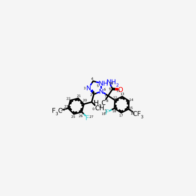 CC(C1=NCNN1C(C)(C(N)=O)c1ccc(C(F)(F)F)cc1F)c1ccc(C(F)(F)F)cc1F